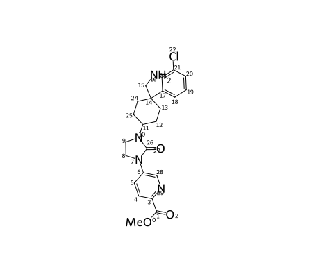 COC(=O)c1ccc(N2CCN(C3CCC(CN)(c4cccc(Cl)c4)CC3)C2=O)cn1